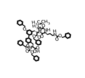 CC(C)(C)OC(=O)N[C@@H](CCCNC(=O)OCc1ccccc1)C(=O)N[C@@H](Cc1cc(OCc2ccccc2)cc(-c2ccc(OCc3ccccc3)c(C[C@H](NC(=O)OCc3ccccc3)C(=O)O)c2)c1)C(=O)OCc1ccccc1